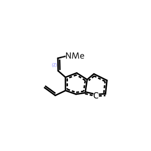 C=Cc1cc2ccccc2cc1/C=C\NC